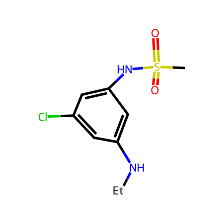 CCNc1cc(Cl)cc(NS(C)(=O)=O)c1